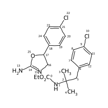 CCOC(=O)NC(C)(C)Cc1ccc(Cl)cc1.NC1=NCC(c2ccc(Cl)cc2)O1